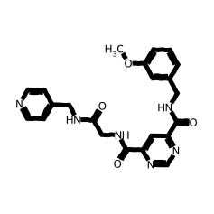 COc1cccc(CNC(=O)c2cc(C(=O)NCC(=O)NCc3ccncc3)ncn2)c1